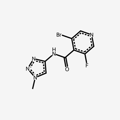 Cn1cc(NC(=O)c2c(F)cncc2Br)nn1